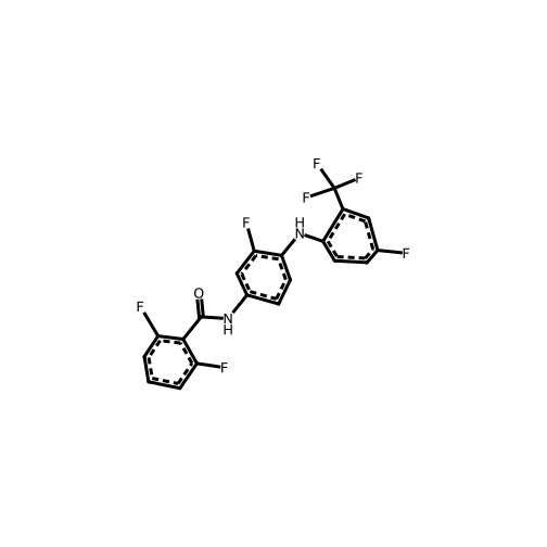 O=C(Nc1ccc(Nc2ccc(F)cc2C(F)(F)F)c(F)c1)c1c(F)cccc1F